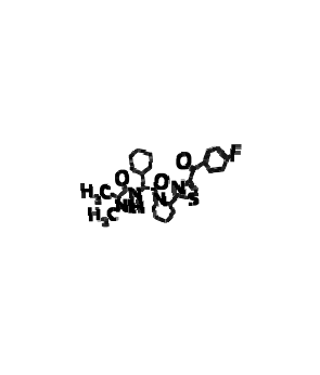 CN[C@@H](C)C(=O)N[C@H](C(=O)N1CCCCC1c1nc(C(=O)c2ccc(F)cc2)cs1)C1CCCCC1